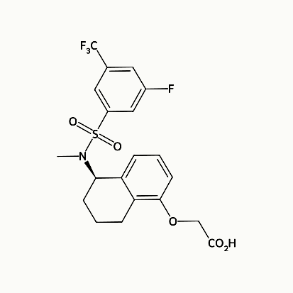 CN([C@@H]1CCCc2c(OCC(=O)O)cccc21)S(=O)(=O)c1cc(F)cc(C(F)(F)F)c1